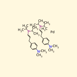 CC(C)P(C=CCc1ccc(N(C)C)cc1)C(C)C.CC(C)P(C=CCc1ccc(N(C)C)cc1)C(C)C.[Pd]